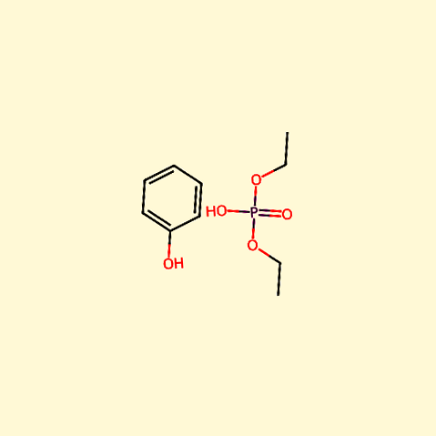 CCOP(=O)(O)OCC.Oc1ccccc1